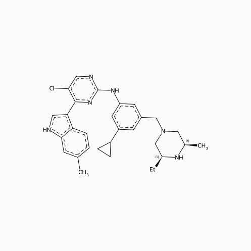 CC[C@H]1CN(Cc2cc(Nc3ncc(Cl)c(-c4c[nH]c5cc(C)ccc45)n3)cc(C3CC3)c2)C[C@@H](C)N1